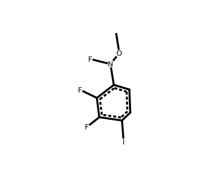 CON(F)c1ccc(I)c(F)c1F